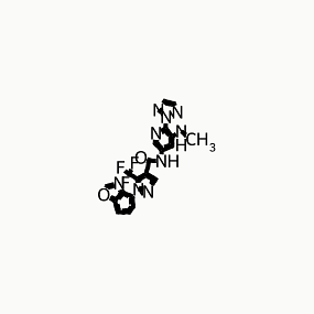 CNc1cc(NC(=O)c2cnn(-c3cccc4ocnc34)c2C(F)(F)F)cnc1-n1nccn1